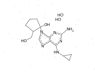 Cl.Cl.Nc1nc(NC2CC2)c2ncn(C3(O)CCCC3CO)c2n1